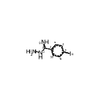 N=C(NN)c1ccc(I)cc1